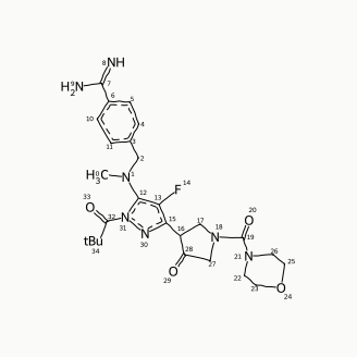 CN(Cc1ccc(C(=N)N)cc1)c1c(F)c(C2CN(C(=O)N3CCOCC3)CC2=O)nn1C(=O)C(C)(C)C